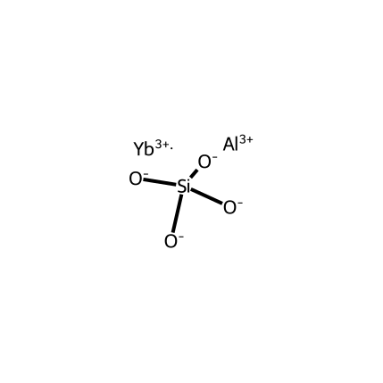 [Al+3].[O-][Si]([O-])([O-])[O-].[Yb+3]